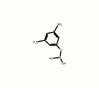 Nc1cc(N)cc(OB(O)O)c1